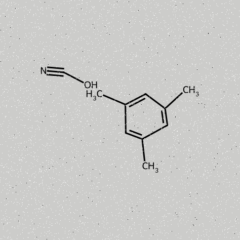 Cc1cc(C)cc(C)c1.N#CO